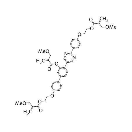 C=C(COC)C(=O)OCCOc1ccc(-c2ccc(-c3cnc(-c4ccc(OCCOC(=O)C(=C)COC)cc4)nc3)c(OC(=O)C(=C)COC)c2)cc1